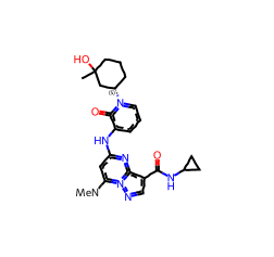 CNc1cc(Nc2cccn([C@H]3CCCC(C)(O)C3)c2=O)nc2c(C(=O)NC3CC3)cnn12